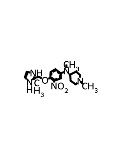 CN1CCC(N(C)c2ccc(OCC3(C)NC=CN3)c([N+](=O)[O-])c2)CC1